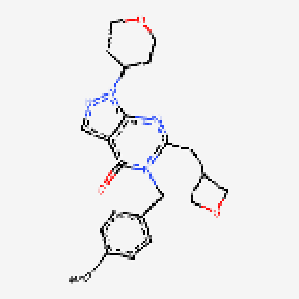 COc1ccc(Cn2c(CC3COC3)nc3c(cnn3C3CCOCC3)c2=O)cc1